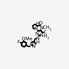 COc1cc(Cn2cc(CNc3nc(C)c4c(n3)N3CCC[C@H]3C(=O)N4C)cn2)ccc1F